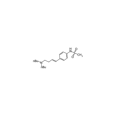 CCCCN(CCC=Cc1ccc(NS(C)(=O)=O)cc1)CCCC